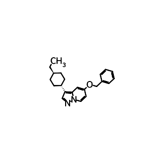 CC[C@H]1CC[C@H](c2cnn3ccc(OCc4ccccc4)cc23)CC1